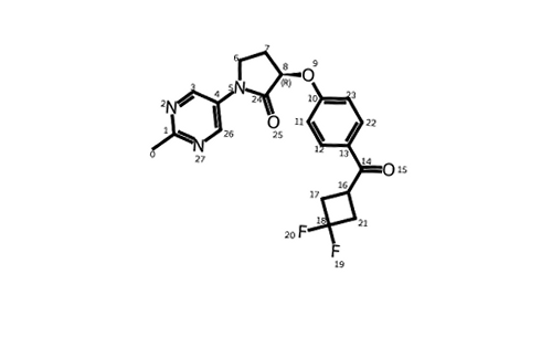 Cc1ncc(N2CC[C@@H](Oc3ccc(C(=O)C4CC(F)(F)C4)cc3)C2=O)cn1